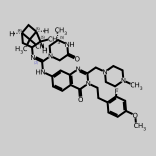 COc1ccc(CCn2c(CN3CCN(C)CC3)nc3cc(N/C(=N/C4C[C@H]5C[C@@H]([C@@H]4C)C5(C)C)N4CC(=O)N[C@@H](C)C4)ccc3c2=O)c(F)c1